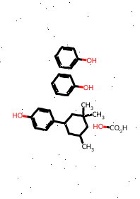 CC1CC(c2ccc(O)cc2)CC(C)(C)C1.O=C(O)O.Oc1ccccc1.Oc1ccccc1